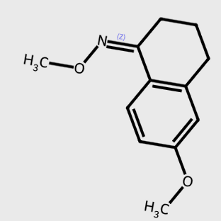 CO/N=C1/CCCc2cc(OC)ccc21